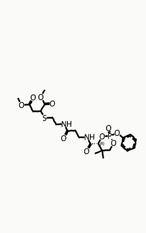 COC(=O)CC(SCCNC(=O)CCNC(=O)[C@@H]1OP(=O)(Oc2ccccc2)OCC1(C)C)C(=O)OC